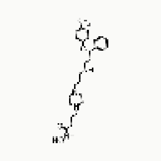 O=C(CCCN1CCN(CCCNCCC(Oc2ccc(C(F)(F)F)cc2)c2ccccc2)CC1)NO